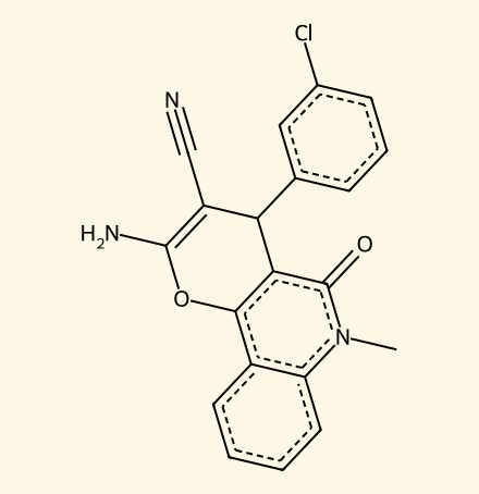 Cn1c(=O)c2c(c3ccccc31)OC(N)=C(C#N)C2c1cccc(Cl)c1